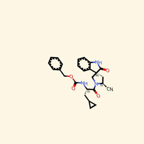 N#C[C@@H]1C[C@@]2(CN1C(=O)[C@H](CC1CC1)NC(=O)OCc1ccccc1)C(=O)Nc1ccccc12